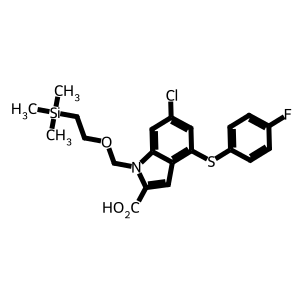 C[Si](C)(C)CCOCn1c(C(=O)O)cc2c(Sc3ccc(F)cc3)cc(Cl)cc21